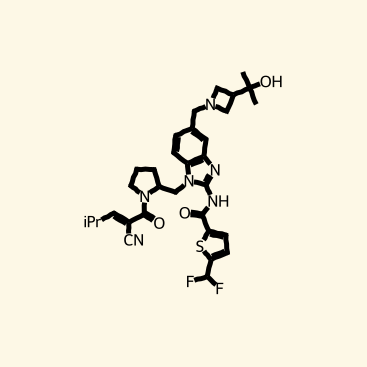 CC(C)C=C(C#N)C(=O)N1CCCC1Cn1c(NC(=O)c2ccc(C(F)F)s2)nc2cc(CN3CC(C(C)(C)O)C3)ccc21